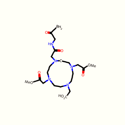 BC(=O)CNC(=O)CN1CCN(CC(=O)OC)CCN(CC(=O)O)CCN(CC(=O)OC)CC1